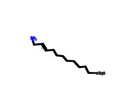 CCCCCCCCCCCCCCC/C=C/CN